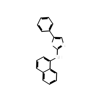 c1ccc(-c2cnc(Nc3cccc4ccccc34)s2)cc1